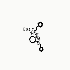 CCOC(=O)[C@H](CCc1ccccc1)N[C@@H](C)C(=O)N1CCCCCC[C@@H]1C(=O)OCc1ccccc1